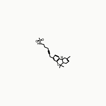 CC1=CCC2[C@@H](C1)c1ccc(CC#CCCCNS(C)(=O)=O)cc1OC2(C)C